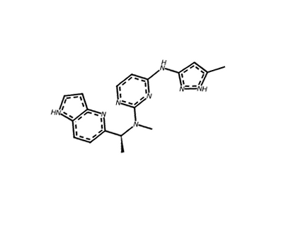 Cc1cc(Nc2ccnc(N(C)[C@@H](C)c3ccc4[nH]ccc4n3)n2)n[nH]1